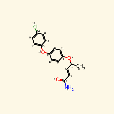 CC(C=CC(N)=O)Oc1ccc(Oc2ccc(Cl)cc2)cc1